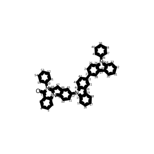 O=c1c2ccccc2n2c3ccc(-n4c5ccccc5c5cc(-c6ccc7c(c6)c6ccccc6n7-c6ccccc6)ccc54)cc3cc2n1-c1ccccc1